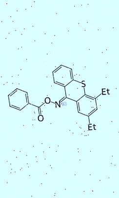 CCc1cc(CC)c2sc3ccccc3/c(=N\OC(=O)c3ccccc3)c2c1